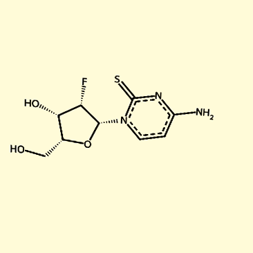 Nc1ccn([C@@H]2O[C@H](CO)[C@H](O)[C@@H]2F)c(=S)n1